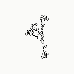 O=C(CCCC(=O)ON1C(=O)CCC1=O)OCOCC(COCC(COCOC(=O)CCCC(=O)ON1C(=O)CCC1=O)OCOC(=O)CC(=O)ON1C(=O)CCC1=O)OCOC(=O)CCCC(=O)ON1C(=O)CCC1=O